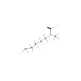 O=C(O)C(C(F)(F)F)C(F)(F)C(F)(F)C(F)(F)C(F)(F)C(F)(F)F